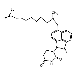 CCN(CC)CCCCCCCN(C)Cc1ccc2c3c(cccc13)C(=O)N2C1CCC(=O)NC1=O